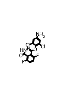 Nc1cc(Cl)c(Oc2n[nH]c(=O)c3c(F)ccc(F)c23)c(Cl)c1